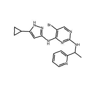 CC(Nc1ncc(Br)c(Nc2cc(C3CC3)[nH]n2)n1)c1ccccn1